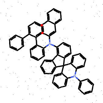 c1ccc(-c2ccccc2-c2ccccc2N(c2ccc3ccccc3c2)c2cccc3c2-c2ccccc2C32c3ccccc3N(c3ccccc3)c3ccccc32)cc1